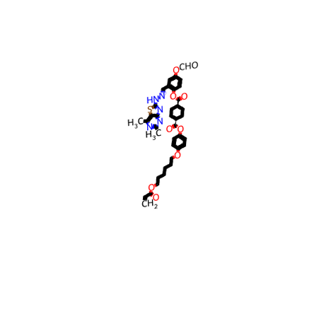 C=CC(=O)OCCCCCCOc1ccc(OC(=O)[C@H]2CC[C@H](C(=O)Oc3ccc(OC=O)cc3/C=N/Nc3nc4nc(C)nc(C)c4s3)CC2)cc1